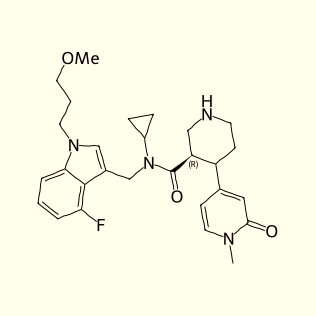 COCCCn1cc(CN(C(=O)[C@H]2CNCCC2c2ccn(C)c(=O)c2)C2CC2)c2c(F)cccc21